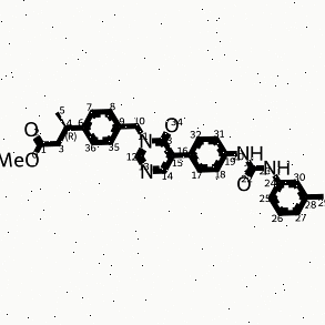 COC(=O)C[C@@H](C)c1ccc(Cn2cncc(-c3ccc(NC(=O)Nc4cccc(C)c4)cc3)c2=O)cc1